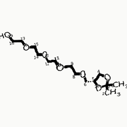 CC1(C)OC[C@@H](COCCOCCOCCOCCO)O1